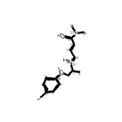 CC(COc1ccc(I)cc1)NC/C=C/C(=O)N(C)C